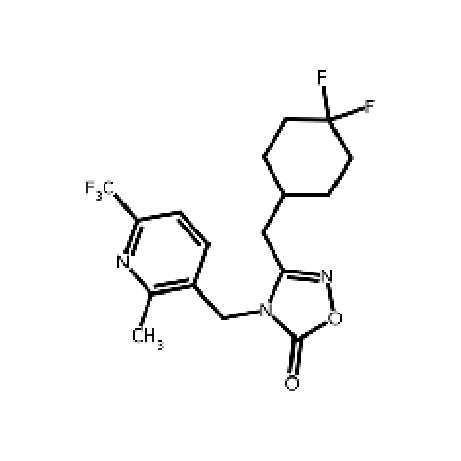 Cc1nc(C(F)(F)F)ccc1Cn1c(CC2CCC(F)(F)CC2)noc1=O